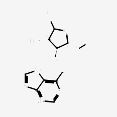 Cc1ncnc2nc[nH]c12.OC[C@H]1OC(O)[C@@H](O)[C@@H]1O